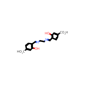 O=C(O)c1ccc(C=NCCN=Cc2ccc(C(=O)O)cc2O)c(O)c1